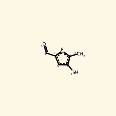 Cc1sc(C=O)cc1S